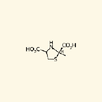 C[C@@]1(C(=O)O)NC(C(=O)O)CS1